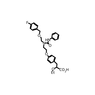 CCOC(Cc1ccc(OCCN(CCOCc2ccc(F)cc2)C(=O)Nc2ccccc2)cc1)C(=O)O